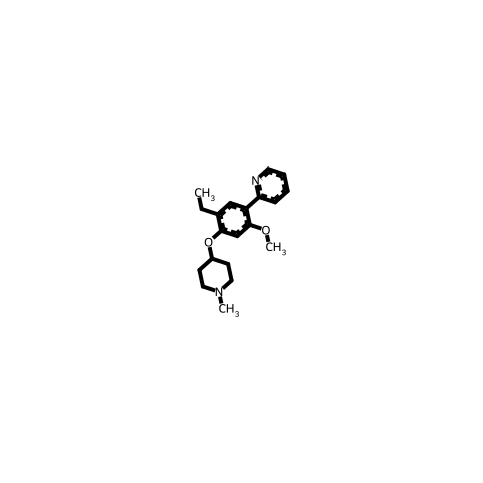 CCc1cc(-c2ccc[c]n2)c(OC)cc1OC1CCN(C)CC1